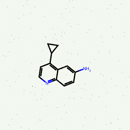 Nc1ccc2nccc(C3CC3)c2c1